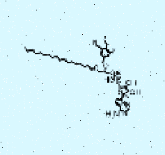 CCCCCCCCCCCCCCCCCCOC[C@H](COP(=O)(O)OC[C@H]1O[C@@](C)(c2ccc3c(N)ncnn23)[C@H](O)[C@@H]1O)OCc1cc(F)c(CCC)c(C#N)c1